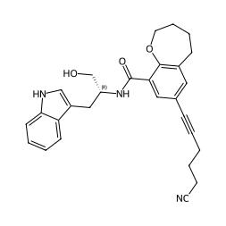 N#CCCCC#Cc1cc2c(c(C(=O)N[C@@H](CO)Cc3c[nH]c4ccccc34)c1)OCCCC2